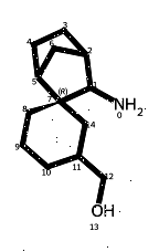 NC1C2CCC(C2)[C@]12CCCC(CO)C2